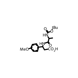 COc1ccc(C(CC(=O)O)NC(=O)C(C)NC(=O)OC(C)(C)C)cc1